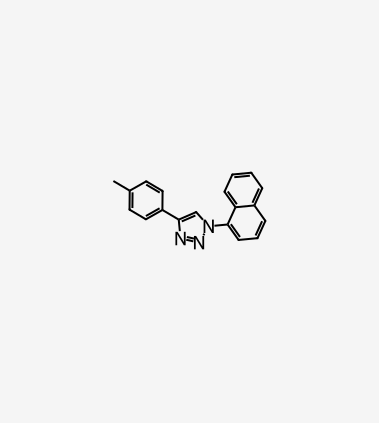 Cc1ccc(-c2cn(-c3cccc4ccccc34)nn2)cc1